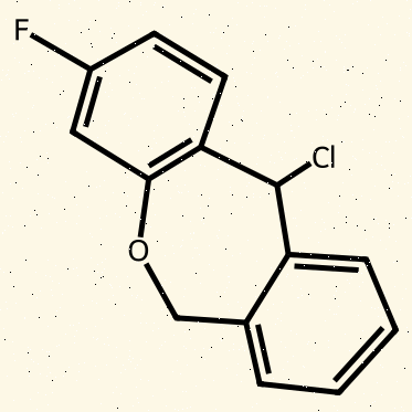 Fc1ccc2c(c1)OCc1ccccc1C2Cl